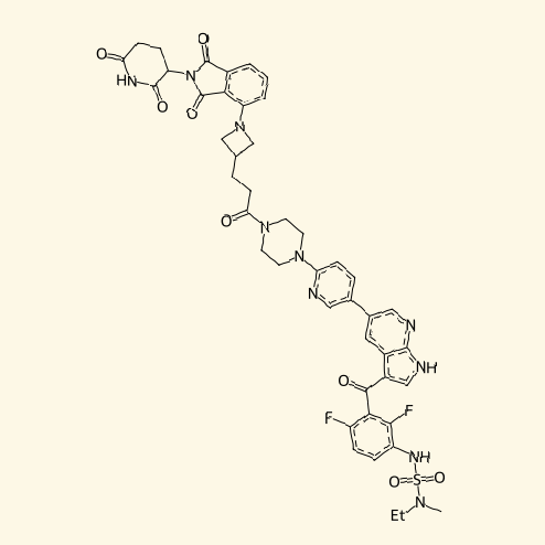 CCN(C)S(=O)(=O)Nc1ccc(F)c(C(=O)c2c[nH]c3ncc(-c4ccc(N5CCN(C(=O)CCC6CN(c7cccc8c7C(=O)N(C7CCC(=O)NC7=O)C8=O)C6)CC5)nc4)cc23)c1F